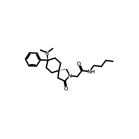 CCCCNC(=O)CN1C[C@]2(CC[C@](c3ccccc3)(N(C)C)CC2)CC1=O